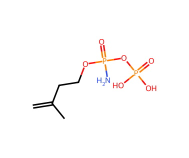 C=C(C)CCOP(N)(=O)OP(=O)(O)O